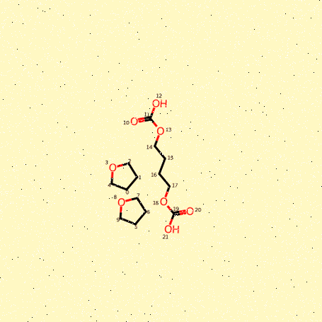 C1CCOC1.C1CCOC1.O=C(O)OCCCCOC(=O)O